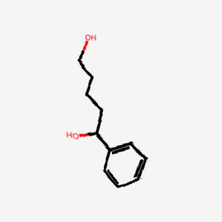 OCCCCC(O)c1cc[c]cc1